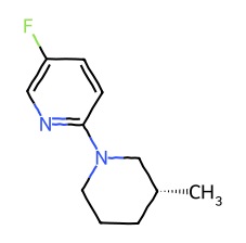 C[C@@H]1CCCN(c2ccc(F)cn2)C1